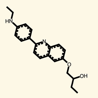 CCNc1ccc(-c2ccc3cc(OCC(O)CC)ccc3n2)cc1